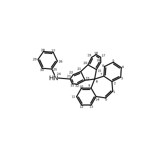 C1=Cc2ccccc2C2(c3ccccc31)c1ccccc1-c1cc(Nc3ccccc3)ccc12